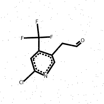 O=CCc1cnc(Cl)cc1C(F)(F)F